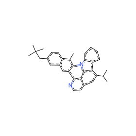 Cc1c2ccc(CC(C)(C)C)cc2cc2c3nccc4cc(C(C)C)c5c6ccccc6n(c12)c5c43